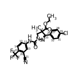 CCOC(=O)C1(C)CN(C(=O)Nc2ccc(C(F)(F)F)c(C#N)c2)N=C1c1ccc(Cl)cc1